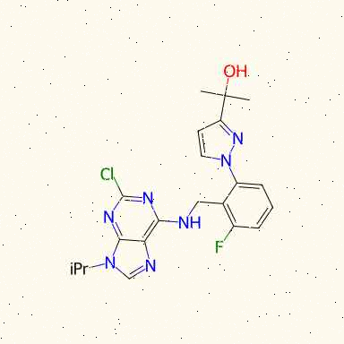 CC(C)n1cnc2c(NCc3c(F)cccc3-n3ccc(C(C)(C)O)n3)nc(Cl)nc21